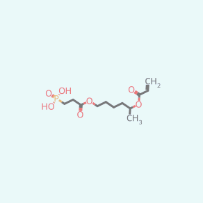 C=CC(=O)OC(C)CCCCOC(=O)CCP(=O)(O)O